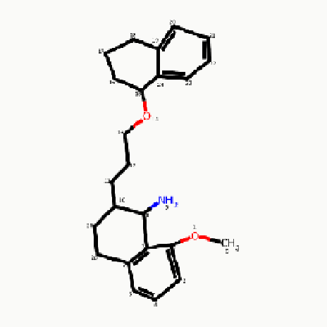 COc1cccc2c1C(N)C(CCCOC1CCCc3ccccc31)CC2